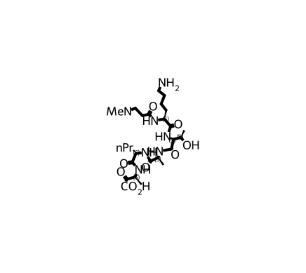 CCC[C@H](NC(=O)[C@H](C)NC(=O)[C@@H](NC(=O)[C@H](CCCCN)NC(=O)CCNC)[C@@H](C)O)C(=O)N[C@@H](C)C(=O)C(=O)O